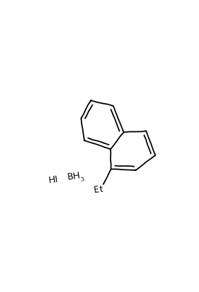 B.CCc1cccc2ccccc12.I